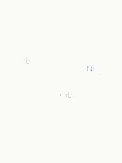 CC(C)COc1cc(C(C)(C)C)ccc1CN